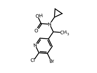 CC(c1cnc(Cl)c(Br)c1)N(C(=O)O)C1CC1